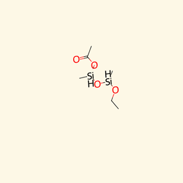 CCO[SiH](C)O[SiH](C)OC(C)=O